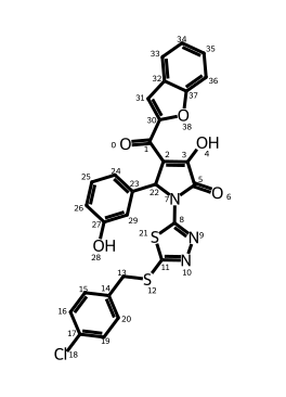 O=C(C1=C(O)C(=O)N(c2nnc(SCc3ccc(Cl)cc3)s2)C1c1cccc(O)c1)c1cc2ccccc2o1